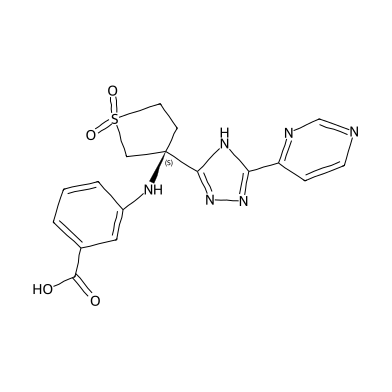 O=C(O)c1cccc(N[C@]2(c3nnc(-c4ccncn4)[nH]3)CCS(=O)(=O)C2)c1